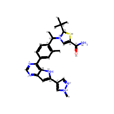 Cc1cc(-c2ncnc3cc(-c4cnn(C)c4)[nH]c23)ccc1C(C)N1C=C(C(N)=O)SC1C(C)(C)C